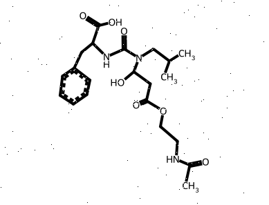 CC(=O)NCCOC(=O)CC(O)N(CC(C)C)C(=O)NC(Cc1ccccc1)C(=O)O